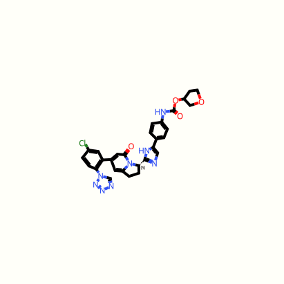 O=C(Nc1ccc(-c2cnc([C@@H]3CCc4cc(-c5cc(Cl)ccc5-n5cnnn5)cc(=O)n43)[nH]2)cc1)OC1CCOC1